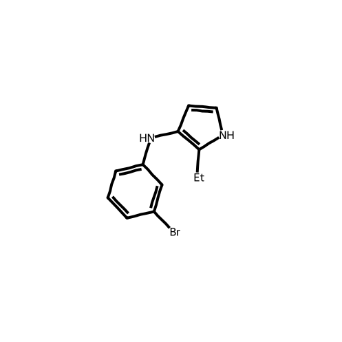 CCc1[nH]ccc1Nc1cccc(Br)c1